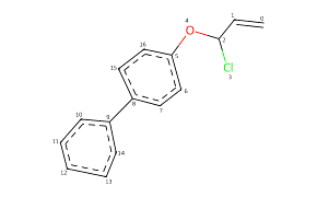 C=CC(Cl)Oc1ccc(-c2ccccc2)cc1